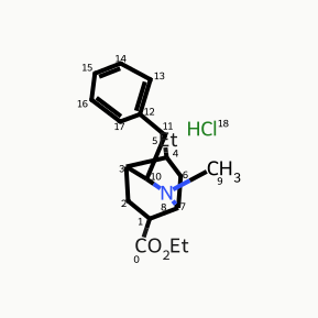 CCOC(=O)C1CC2C(CC)CC1N(C)C2Cc1ccccc1.Cl